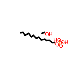 CCCCCCCCCCCCCCOP(=O)(O)O.CCO